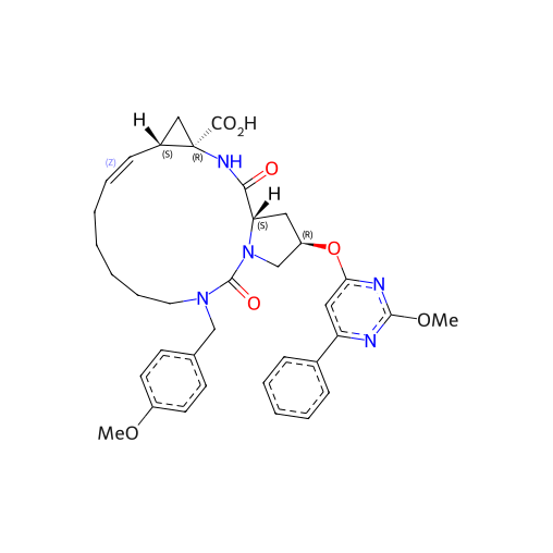 COc1ccc(CN2CCCCC/C=C\[C@@H]3C[C@@]3(C(=O)O)NC(=O)[C@@H]3C[C@@H](Oc4cc(-c5ccccc5)nc(OC)n4)CN3C2=O)cc1